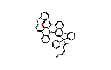 C=C/C=C\C=C(/C)C1(c2ccccc2)c2ccccc2-c2ccc(N(c3ccccc3-c3ccccc3)c3ccccc3-c3ccc4sc5ccccc5c4c3)cc21